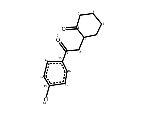 O=C(CC1CCCCC1=O)c1ccc(Cl)cc1